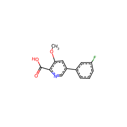 COc1cc(-c2cccc(F)c2)cnc1C(=O)O